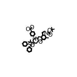 COC(=O)c1ccc([C@H]2C[C@@H](O[Si](c3ccccc3)(c3ccccc3)C(C)(C)C)CCN2Cc2c(OC)cc(C)c3c2ccn3C(=O)OC(C)(C)C)cc1